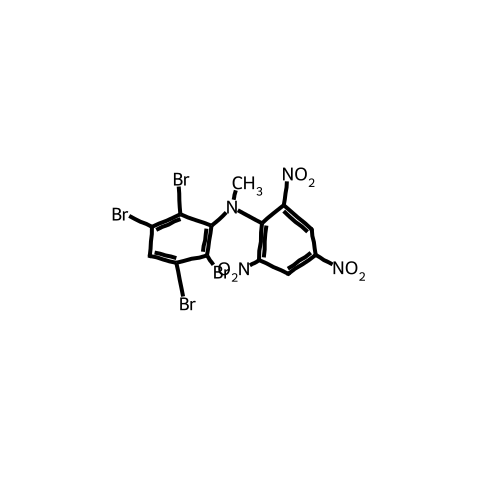 CN(c1c([N+](=O)[O-])cc([N+](=O)[O-])cc1[N+](=O)[O-])c1c(Br)c(Br)cc(Br)c1Br